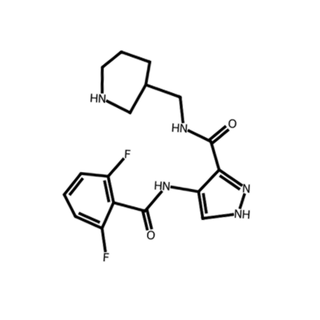 O=C(NCC1CCCNC1)c1n[nH]cc1NC(=O)c1c(F)cccc1F